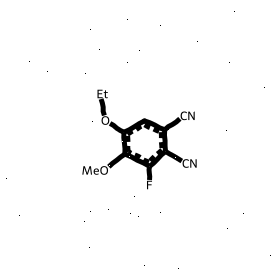 CCOc1cc(C#N)c(C#N)c(F)c1OC